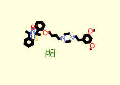 COc1cc(CCN2CCN(CCCCOc3ccccc3C3(C)Sc4ccccc4C(C)[NH+]3[O-])CC2)cc(OC)c1.Cl.Cl